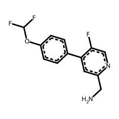 NCc1cc(-c2ccc(OC(F)F)cc2)c(F)cn1